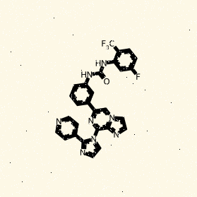 O=C(Nc1cccc(-c2cn3ccnc3c(-n3ccnc3-c3ccncc3)n2)c1)Nc1cc(F)ccc1C(F)(F)F